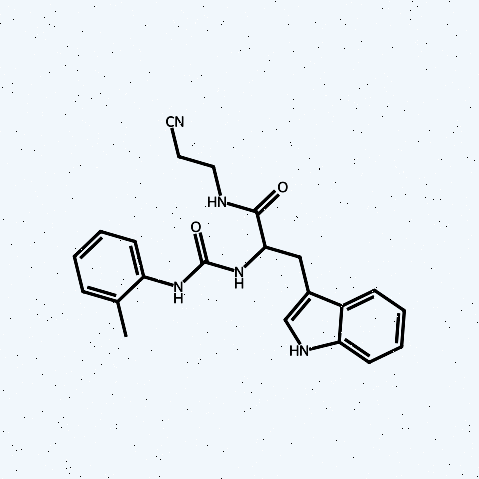 Cc1ccccc1NC(=O)NC(Cc1c[nH]c2ccccc12)C(=O)NCCC#N